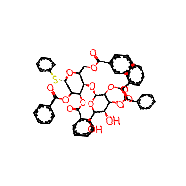 O=C(OCC1O[C@@H](Sc2ccccc2)C(OC(=O)c2ccccc2)C(OC(=O)c2ccccc2)[C@@H]1O[C@@H]1OC(CO)[C@H](O)C(OC(=O)c2ccccc2)C1OC(=O)c1ccccc1)c1ccccc1